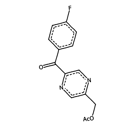 CC(=O)OCc1cnc(C(=O)c2ccc(F)cc2)cn1